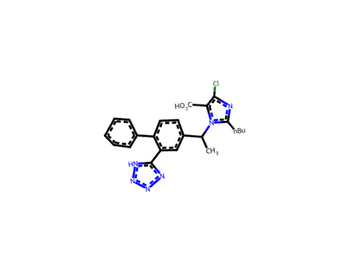 CCCCc1nc(Cl)c(C(=O)O)n1C(C)c1ccc(-c2ccccc2)c(-c2nnn[nH]2)c1